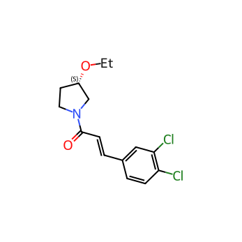 CCO[C@H]1CCN(C(=O)C=Cc2ccc(Cl)c(Cl)c2)C1